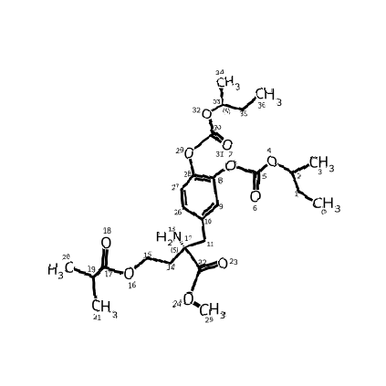 CCC(C)OC(=O)Oc1cc(C[C@](N)(CCOC(=O)C(C)C)C(=O)OC)ccc1OC(=O)O[C@@H](C)CC